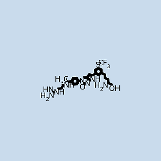 C[C@H](NCCCNC(=N)N)c1ccc(-n2cc3cc(-c4cc(CCC[C@@H](N)CO)cc(SC(F)(F)F)c4)[nH]c3nc2=O)cc1